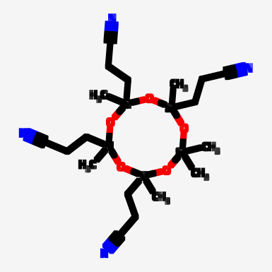 C[Si]1(C)O[Si](C)(CCC#N)O[Si](C)(CCC#N)O[Si](C)(CCC#N)O[Si](C)(CCC#N)O1